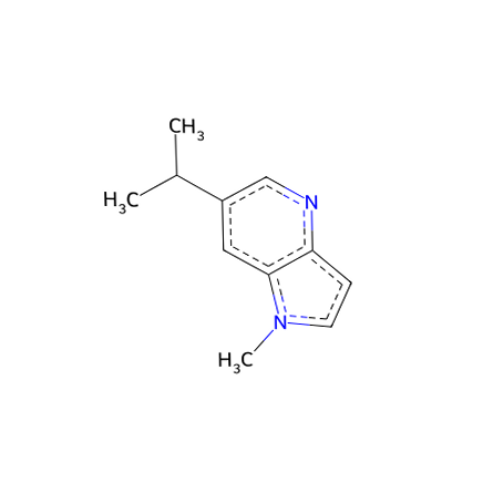 CC(C)c1cnc2ccn(C)c2c1